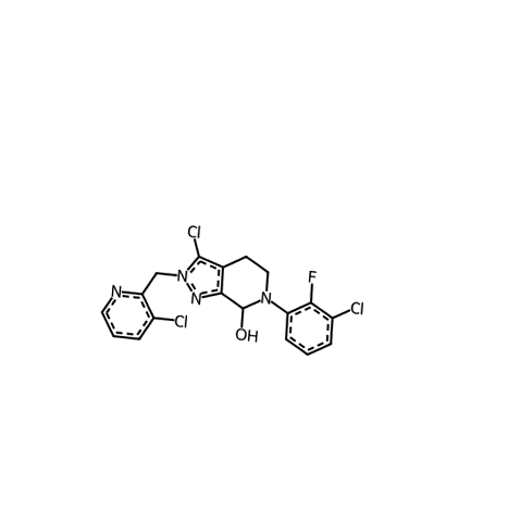 OC1c2nn(Cc3ncccc3Cl)c(Cl)c2CCN1c1cccc(Cl)c1F